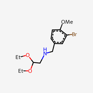 CCOC(CNCc1ccc(OC)c(Br)c1)OCC